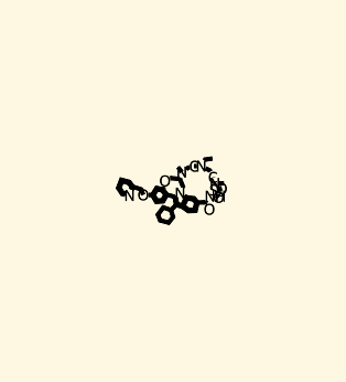 CCN1CCN(C)C2COc3cc(OCc4ccccn4)ccc3-c3c(C4CCCCC4)c4ccc(cc4n3C2)C(=O)NS(=O)(=O)N(C)CC1